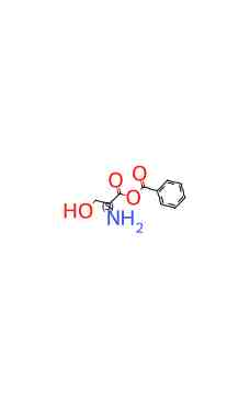 N[C@@H](CO)C(=O)OC(=O)c1ccccc1